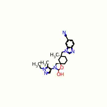 CCn1ncc(N2C[C@@]3(CCC[C@](C)(Cn4cnc5ccc(C#N)cc54)C3)O[C@H]2O)c1C